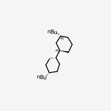 CCCC[C@@H]1CCC[C@@H]([C@H]2CC[C@@H](CCCC)CC2)C1